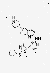 Cc1nc(SC2CCCC2)sc1-c1ccnc(Nc2ccc3c(n2)CCN(C2CCNCC2)C3)n1